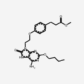 CCCCOc1nc(N)c2[nH]c(=O)n(CCOc3ccc(CCC(=O)OC)cc3)c2n1